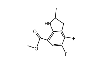 COC(=O)c1cc(F)c(F)c2c1NC(C)C2